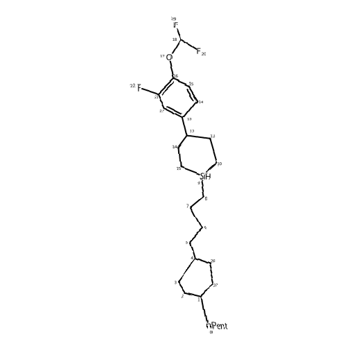 CCCCCC1CCC(CCCC[SiH]2CCC(c3ccc(OC(F)F)c(F)c3)CC2)CC1